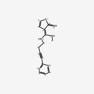 CN/C(NCCC#Cc1ncccn1)=C1/C=CSC1=N